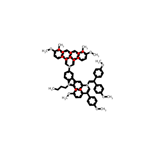 CCCCn1c2ccc(N(C=C(c3ccc(OC)cc3)c3ccc(OC)cc3)C=C(c3ccc(OC)cc3)c3ccc(OC)cc3)cc2c2cc(N(C=C(c3ccc(OC)cc3)c3ccc(OC)cc3)C=C(c3ccc(OC)cc3)c3ccc(OC)cc3)ccc21